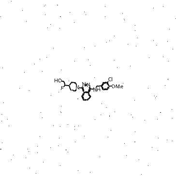 COc1ccc(CNc2nnc(N3CCC(C(F)CO)CC3)c3ccccc23)cc1Cl